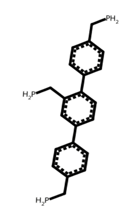 PCc1ccc(-c2ccc(-c3ccc(CP)cc3)c(CP)c2)cc1